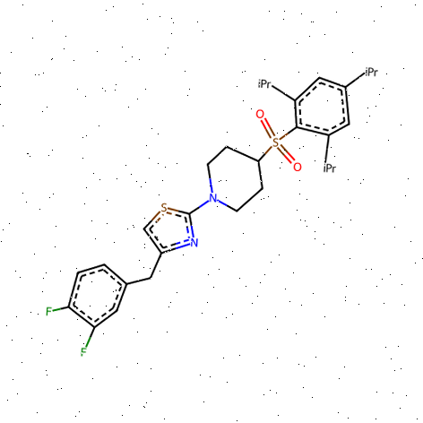 CC(C)c1cc(C(C)C)c(S(=O)(=O)C2CCN(c3nc(Cc4ccc(F)c(F)c4)cs3)CC2)c(C(C)C)c1